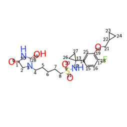 O=C1CN(CCCCCS(=O)(=O)NC2(c3ccc(F)c(OCC4CC4)c3)CC2)C(O)N1